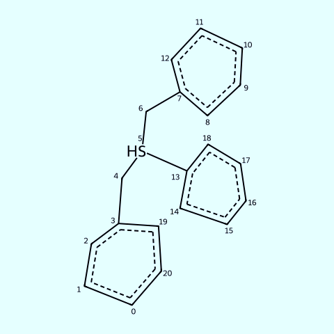 c1ccc(C[SH](Cc2ccccc2)c2ccccc2)cc1